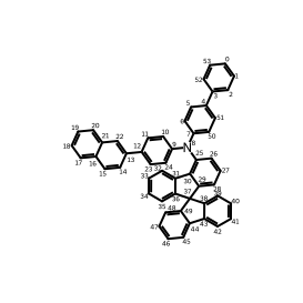 c1ccc(-c2ccc(N(c3ccc(-c4ccc5ccccc5c4)cc3)c3cccc4c3-c3ccccc3C43c4ccccc4-c4ccccc43)cc2)cc1